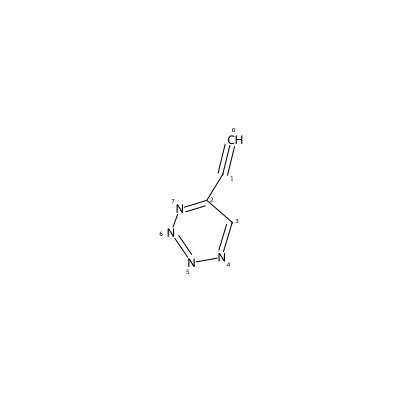 C#Cc1cnnnn1